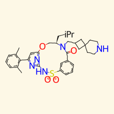 Cc1cccc(C)c1-c1cc2nc(n1)NS(=O)(=O)c1cccc(c1)C(=O)N(CC1CC3(CCNCC3)C1)[C@H](CC(C)C)CO2